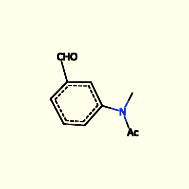 CC(=O)N(C)c1cccc(C=O)c1